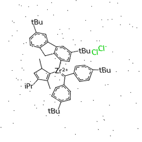 CC1=[C]([Zr+2](=[C](c2ccc(C(C)(C)C)cc2)c2ccc(C(C)(C)C)cc2)[c]2cc(C(C)(C)C)cc3c2Cc2ccc(C(C)(C)C)cc2-3)C(C)C=C1C(C)C.[Cl-].[Cl-]